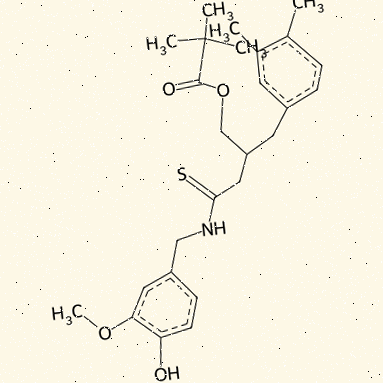 COc1cc(CNC(=S)CC(COC(=O)C(C)(C)C)Cc2ccc(C)c(C)c2)ccc1O